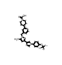 Cc1cc(-c2cn(-c3ccc(OC(F)(F)F)cc3)cn2)nn1Cc1ccnc(C2CCN(C(=O)O)CC2)c1